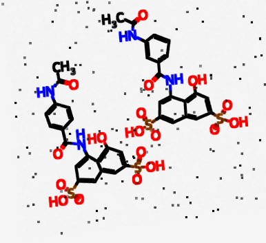 CC(=O)Nc1ccc(C(=O)Nc2cc(S(=O)(=O)O)cc3cc(S(=O)(=O)O)cc(O)c23)cc1.CC(=O)Nc1cccc(C(=O)Nc2cc(S(=O)(=O)O)cc3cc(S(=O)(=O)O)cc(O)c23)c1